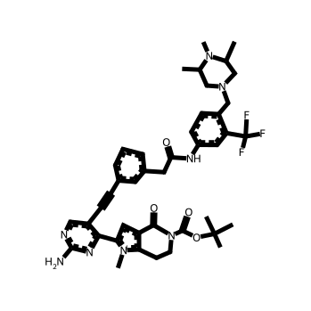 CC1CN(Cc2ccc(NC(=O)Cc3cccc(C#Cc4cnc(N)nc4-c4cc5c(n4C)CCN(C(=O)OC(C)(C)C)C5=O)c3)cc2C(F)(F)F)CC(C)N1C